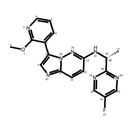 COc1ncccc1-c1cnc2ccc(N[C@H](C)c3ncc(F)cn3)nn12